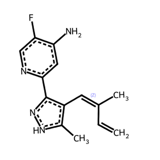 C=C/C(C)=C\c1c(-c2cc(N)c(F)cn2)n[nH]c1C